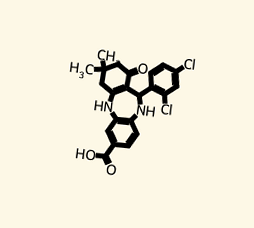 CC1(C)CC(=O)C2=C(C1)Nc1cc(C(=O)O)ccc1NC2c1ccc(Cl)cc1Cl